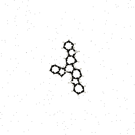 c1ccc2c(c1)cn1c2c2cc3c(cc2c2ccc4c5ccccc5sc4c21)oc1ccccc13